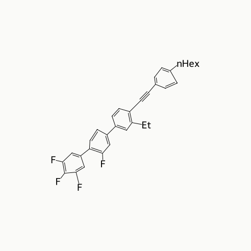 CCCCCCc1ccc(C#Cc2ccc(-c3ccc(-c4cc(F)c(F)c(F)c4)c(F)c3)cc2CC)cc1